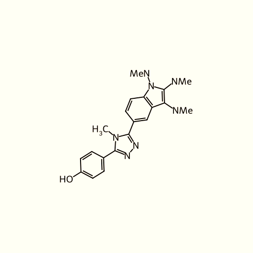 CNc1c(NC)n(NC)c2ccc(-c3nnc(-c4ccc(O)cc4)n3C)cc12